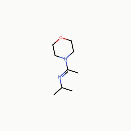 C/C(=N\C(C)C)N1CCOCC1